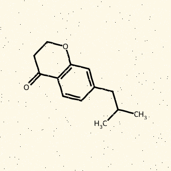 CC(C)Cc1ccc2c(c1)OCCC2=O